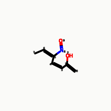 C=C(O)/C=C\C(=C/C)N=O